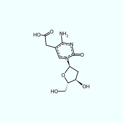 Nc1nc(=O)n([C@H]2C[C@@H](O)[C@H](CO)O2)cc1CC(=O)O